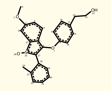 COc1ccc2c(Oc3ccc(CCO)cc3)c(-c3ccccc3C)[s+]([O-])c2c1